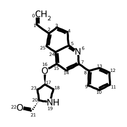 C=Cc1ccc2nc(-c3ccccc3)cc(O[C@H]3CN[C@H](C=O)C3)c2c1